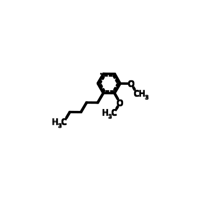 CCCCCc1c[c]cc(OC)c1OC